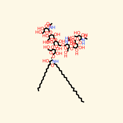 CCCCCCCCCCCCC/C=C/[C@@H](O)[C@H](CO[C@@H]1OC(CO)[C@@H](O[C@@H]2OC(CO[C@@H]3OC(CO)[C@@H](O[C@@H]4OC(CO)[C@H](O[C@@H]5OC(CO)[C@H](O)[C@H](O)C5NC(C)=O)[C@H](O)C4O)[C@H](O)C3NC(C)=O)[C@H](O)[C@H](O[C@H]3OC(CO)[C@H](O)[C@H](O[C@@H]4OC(CO)[C@H](O)[C@H](O)C4NC(C)=O)C3O)C2O)[C@H](O)C1O)NC(=O)CCCCCCCCCCCCCCCCCCCCCCC